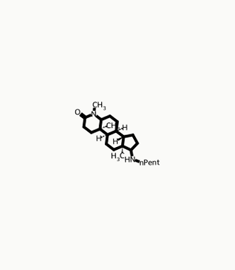 CCCCCNC1CC[C@H]2[C@@H]3CCC4N(C)C(=O)CC[C@]4(C)[C@@H]3CC[C@]12C